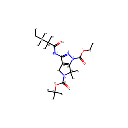 CCOC(=O)n1nc(NC(=O)C(C)(C)[Si](C)(C)CC)c2c1C(C)(C)N(C(=O)OC(C)(C)C)C2